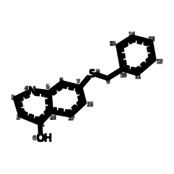 Oc1ccnc2cc(SCc3ccccc3)ccc12